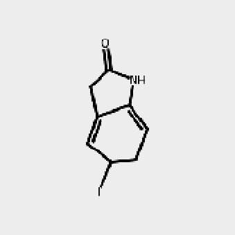 O=C1CC2=CC(I)CC=C2N1